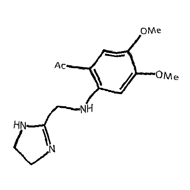 COc1cc(NCC2=NCCN2)c(C(C)=O)cc1OC